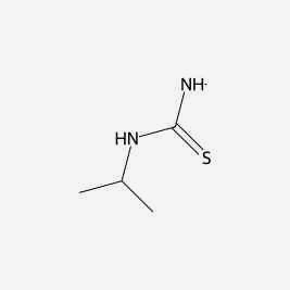 CC(C)NC([NH])=S